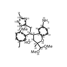 COc1ccc(C)cc1N(Cc1nnn(C)n1)[C@H]1c2cc(N)ccc2O[C@](C)(C(OC)OC)[C@@H]1O